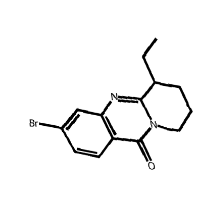 CCC1CCCn2c1nc1cc(Br)ccc1c2=O